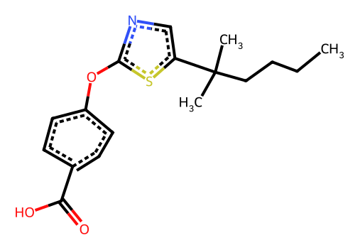 CCCCC(C)(C)c1cnc(Oc2ccc(C(=O)O)cc2)s1